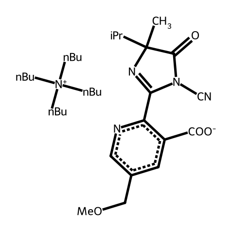 CCCC[N+](CCCC)(CCCC)CCCC.COCc1cnc(C2=NC(C)(C(C)C)C(=O)N2C#N)c(C(=O)[O-])c1